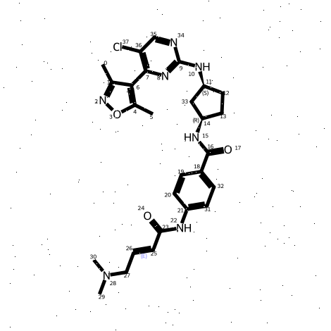 Cc1noc(C)c1-c1nc(N[C@H]2CC[C@@H](NC(=O)c3ccc(NC(=O)/C=C/CN(C)C)cc3)C2)ncc1Cl